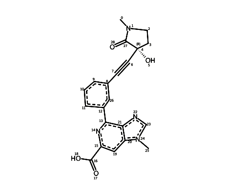 CN1CC[C@@](O)(C#Cc2cccc(-c3nc(C(=O)O)cc4c3ncn4C)c2)C1=O